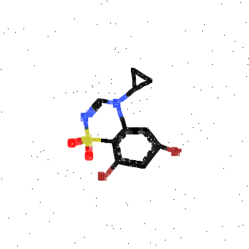 O=S1(=O)N=CN(C2CC2)c2cc(Br)cc(Br)c21